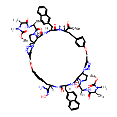 COC(=O)[C@@H]1Cc2ccc(cc2)OCc2cn(nn2)C2CCN(C(=O)[C@@H](NC(=O)[C@H](C)N(C)C(=O)OC(C)(C)C)C(C)(C)C)[C@@H]2C(=O)N[C@@H](Cc2ccc3ccccc3c2)C(=O)N[C@H](/C(N)=N/O)Cc2ccc(cc2)OCc2cn(nn2)[C@@H]2CCN(C(=O)[C@@H](NC(=O)[C@H](C)N(C)C(=O)OC(C)(C)C)C(C)(C)C)[C@@H]2C(=O)N[C@@H](Cc2ccc3ccccc3c2)C(=O)N1